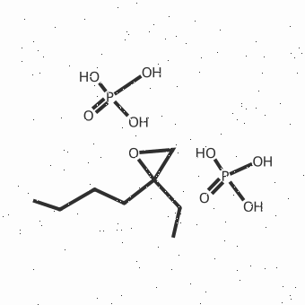 CCCCC1(CC)CO1.O=P(O)(O)O.O=P(O)(O)O